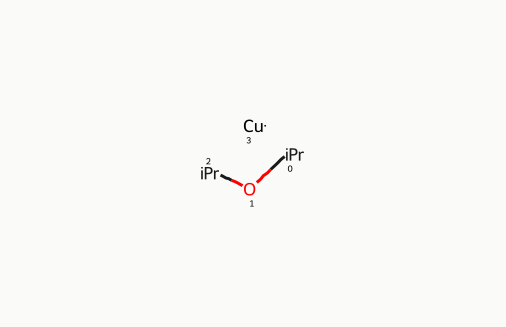 CC(C)OC(C)C.[Cu]